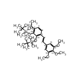 CCc1ccc(C=Cc2cc(OC)c(OC)c(OC)c2)c(O[Si](C)(C)C(C)(C)C)c1O[Si](C)(C)C(C)(C)C